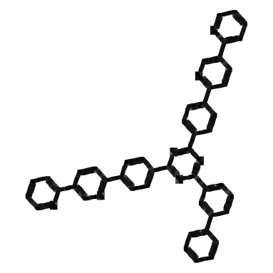 c1ccc(-c2cccc(-c3nc(-c4ccc(-c5ccc(-c6ccccn6)cn5)cc4)nc(-c4ccc(-c5ccc(-c6ccccn6)cn5)cc4)n3)c2)cc1